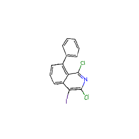 Clc1nc(Cl)c2c(-c3ccccc3)cccc2c1I